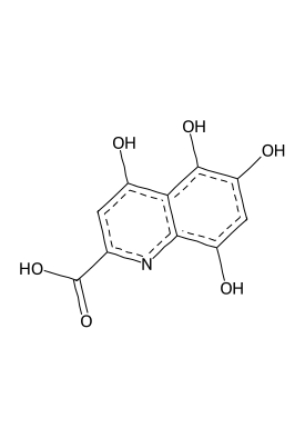 O=C(O)c1cc(O)c2c(O)c(O)cc(O)c2n1